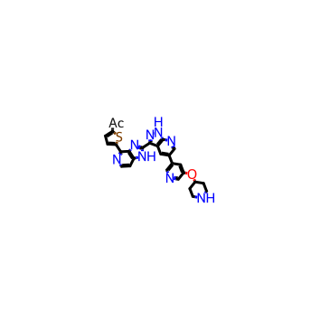 CC(=O)c1ccc(-c2nccc3[nH]c(-c4n[nH]c5ncc(-c6cncc(OC7CCNCC7)c6)cc45)nc23)s1